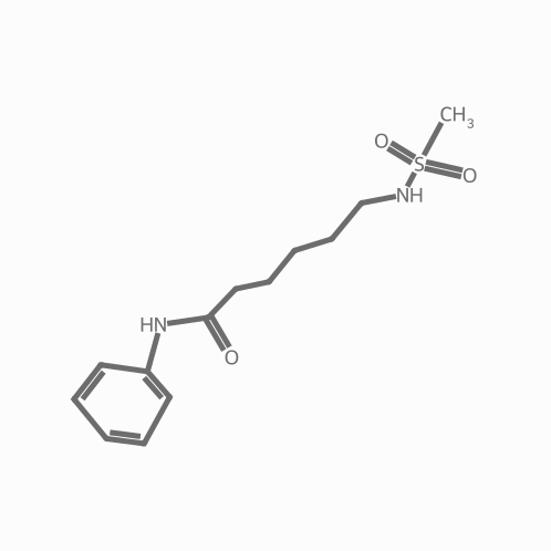 CS(=O)(=O)NCCCCCC(=O)Nc1ccccc1